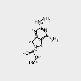 Cc1nc(NN)nc2c1CN(C(=O)OC(C)(C)C)C2